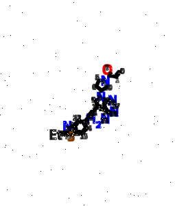 C=CC(=O)N1CCC(n2cc(C#Cc3ccc4sc(CC)nc4c3)c3c(N)ncnc32)C1